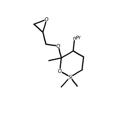 CCCC1CC[Si](C)(C)OC1(C)OCC1CO1